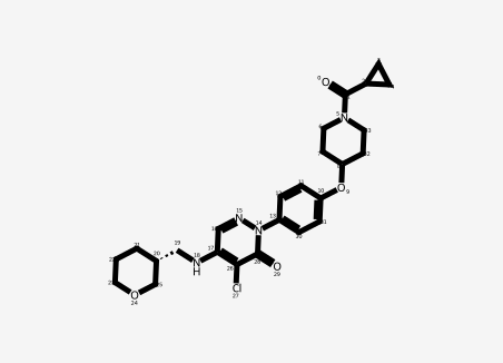 O=C(C1CC1)N1CCC(Oc2ccc(-n3ncc(NC[C@H]4CCCOC4)c(Cl)c3=O)cc2)CC1